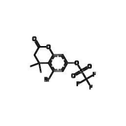 CC1(C)CC(=O)Oc2cc(OS(=O)(=O)C(F)(F)F)cc(Br)c21